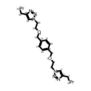 CC(C)Cc1cn(CCOCc2ccc(COCCn3cc(CC(C)C)nn3)cc2)nn1